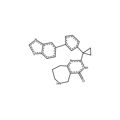 O=c1[nH]c(C2(c3cccc(-c4ccc5scnc5c4)c3)CC2)nc2c1CNCCC2